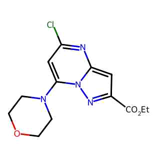 CCOC(=O)c1cc2nc(Cl)cc(N3CCOCC3)n2n1